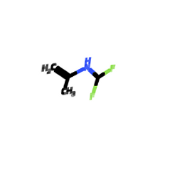 C=C(C)NC(F)F